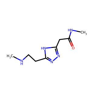 CNCCc1nnc(CC(=O)NC)[nH]1